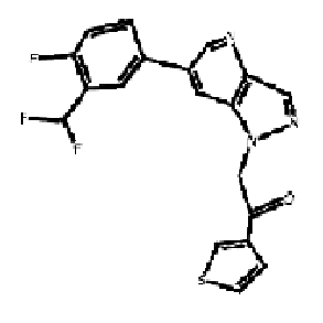 O=C(Cn1ncc2ncc(-c3ccc(F)c(C(F)F)c3)cc21)c1ccsc1